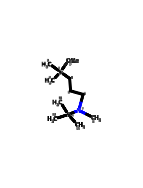 CO[Si](C)(C)CCCN(C)[Si](C)(C)C